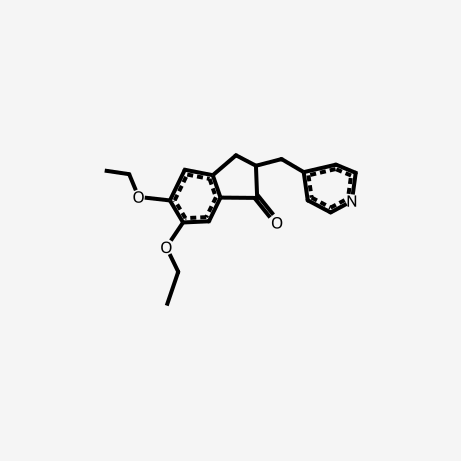 CCOc1cc2c(cc1OCC)C(=O)C(Cc1ccncc1)C2